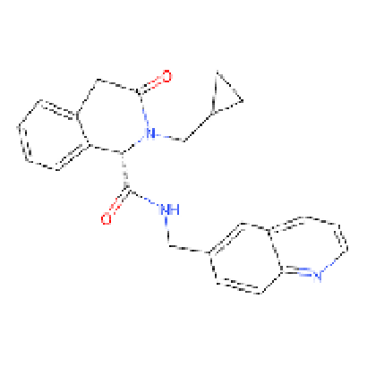 O=C(NCc1ccc2ncccc2c1)[C@@H]1c2ccccc2CC(=O)N1CC1CC1